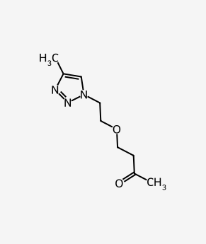 CC(=O)CCOCCn1cc(C)nn1